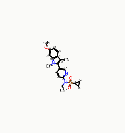 CCn1c(-c2ccc(N(CC#N)S(=O)(=O)C3CC3)nc2)c(C#N)c2ccc(OC(C)C)cc21